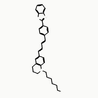 OCCCCCCN1CCCc2cc(C=CC=Cc3ccc(-c4nc5ccccc5o4)cc3)ccc21